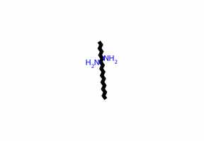 CCCCCCCCCCCC(N)C(N)CCCCC